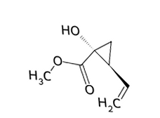 C=C[C@@H]1C[C@]1(O)C(=O)OC